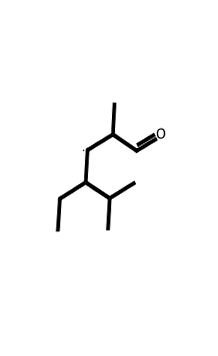 CCC([CH]C(C)C=O)C(C)C